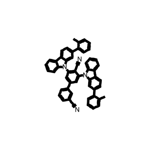 Cc1ccccc1-c1ccc2c3ccccc3n(-c3cc(-c4cccc(C#N)c4)cc(-n4c5ccccc5c5ccc(-c6ccccc6C)cc54)c3C#N)c2c1